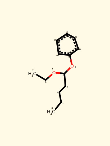 CCCCC(OCC)Oc1cc[c]cc1